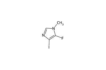 Cn1cnc(I)c1F